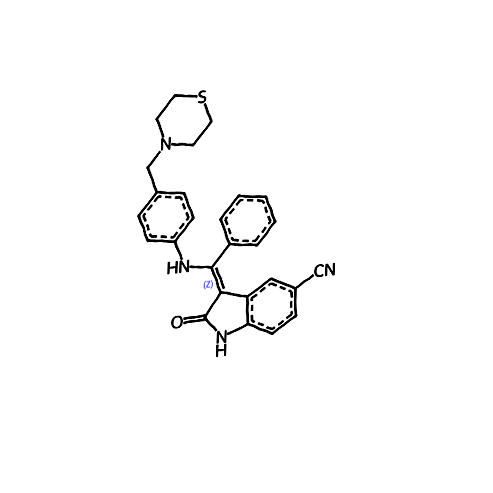 N#Cc1ccc2c(c1)/C(=C(/Nc1ccc(CN3CCSCC3)cc1)c1ccccc1)C(=O)N2